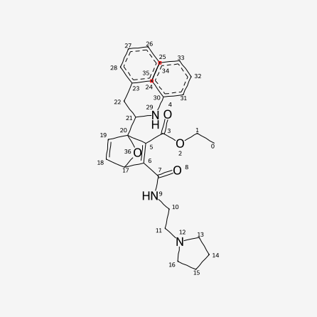 CCOC(=O)C1=C(C(=O)NCCN2CCCC2)C2C=CC1(C(Cc1ccccc1)Nc1ccccc1)O2